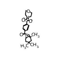 CC1(C)CC2CC(C)(CN2C(=O)c2ccc(S(=O)(=O)N3CCOCC3)cc2)C1